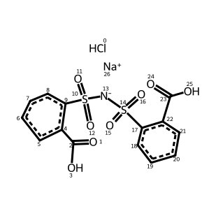 Cl.O=C(O)c1ccccc1S(=O)(=O)[N-]S(=O)(=O)c1ccccc1C(=O)O.[Na+]